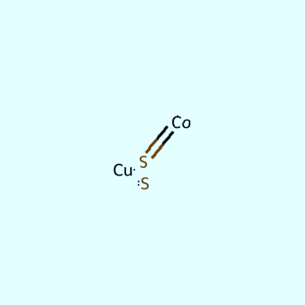 [Cu].[S].[S]=[Co]